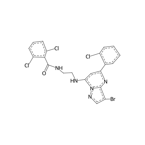 O=C(NCCNc1cc(-c2ccccc2Cl)nc2c(Br)cnn12)c1c(Cl)cccc1Cl